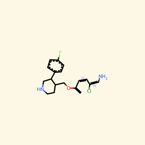 C=C(/C=C\C(Cl)=C/N)OCC1CCNCC1c1ccc(F)cc1